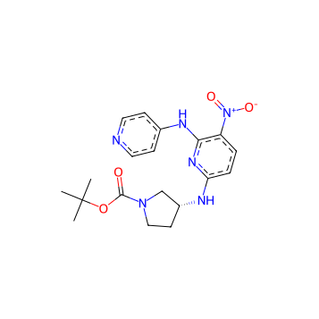 CC(C)(C)OC(=O)N1CC[C@@H](Nc2ccc([N+](=O)[O-])c(Nc3ccncc3)n2)C1